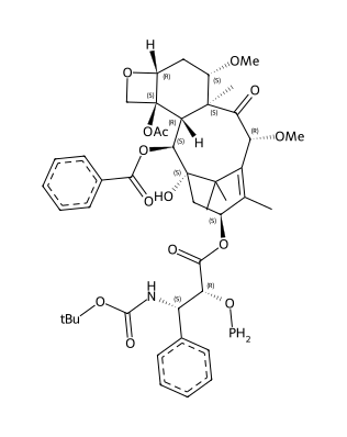 CO[C@H]1C(=O)[C@]2(C)[C@@H](OC)C[C@H]3OC[C@@]3(OC(C)=O)[C@H]2[C@H](OC(=O)c2ccccc2)[C@]2(O)C[C@H](OC(=O)[C@H](OP)[C@@H](NC(=O)OC(C)(C)C)c3ccccc3)C(C)=C1C2(C)C